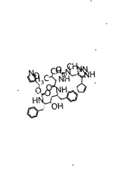 CC(C)[C@H](NC(=O)N(C)Cc1nn[nH]c1C1C=CCC1)C(=O)N[C@@H](Cc1ccccc1)C[C@H](O)[C@H](Cc1ccccc1)NC(=O)OCc1ccno1